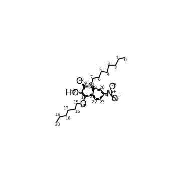 CCCCCCCCn1c(=O)c(O)c(OCCCCCC)c2ccc([N+](=O)[O-])cc21